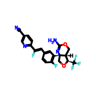 N#Cc1ccc(/C(F)=C/c2ccc(F)c([C@@]34CO[C@@H](C(F)(F)F)[C@@H]3COC(N)=N4)c2)nc1